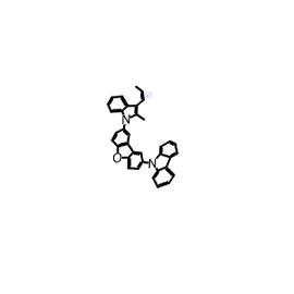 C/C=C\c1c(C)n(-c2ccc3oc4ccc(-n5c6ccccc6c6ccccc65)cc4c3c2)c2ccccc12